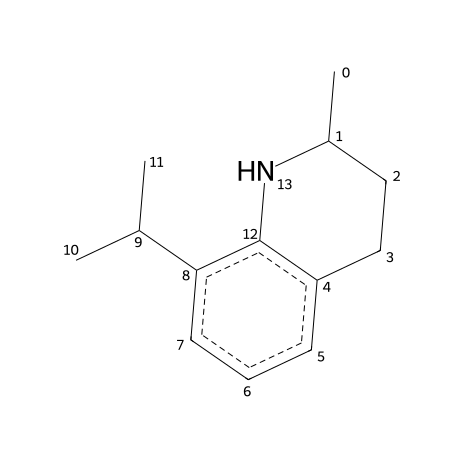 CC1CCc2cccc(C(C)C)c2N1